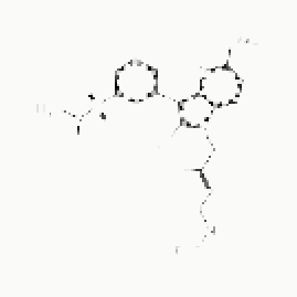 COc1ccc2c(n1)c(-c1cccc(S(=O)(=O)N(C)C)c1)c(C)n2C/C(F)=C/CNC(=O)O